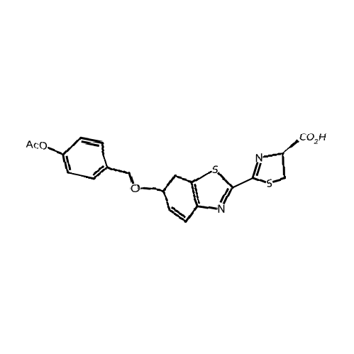 CC(=O)Oc1ccc(COC2C=Cc3nc(C4=N[C@@H](C(=O)O)CS4)sc3C2)cc1